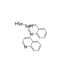 [SeH][SeH].c1ccc2ncccc2c1.c1ccc2ncccc2c1